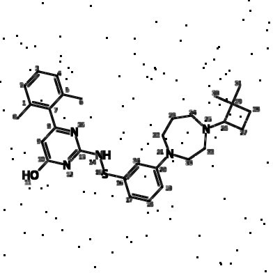 Cc1cccc(C)c1-c1cc(O)nc(NSc2cccc(N3CCCN(C4CCC4(C)C)CC3)c2)n1